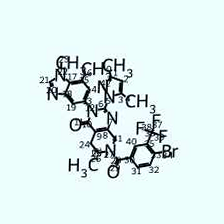 Cc1cc(C)n(-c2nc3c(c(=O)n2-c2cc(C)c4c(c2)ncn4C)C[C@@H](C)N(C(=O)c2ccc(Br)c(C(F)(F)F)c2)C3)n1